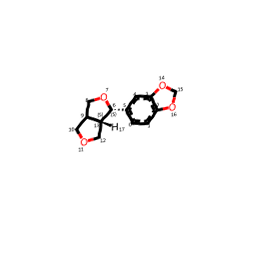 c1cc2c(cc1[C@H]1OCC3COC[C@H]31)OCO2